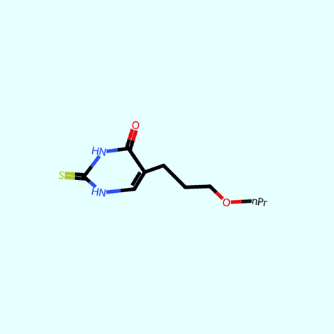 CCCOCCCc1c[nH]c(=S)[nH]c1=O